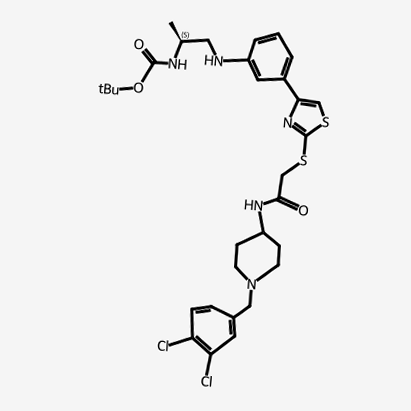 C[C@@H](CNc1cccc(-c2csc(SCC(=O)NC3CCN(Cc4ccc(Cl)c(Cl)c4)CC3)n2)c1)NC(=O)OC(C)(C)C